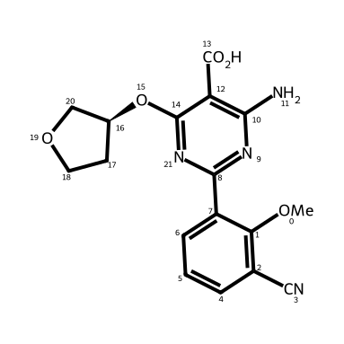 COc1c(C#N)cccc1-c1nc(N)c(C(=O)O)c(O[C@H]2CCOC2)n1